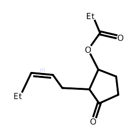 CC/C=C\CC1C(=O)CCC1OC(=O)CC